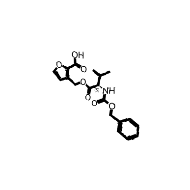 CC(C)[C@H](NC(=O)OCc1ccccc1)C(=O)OCc1ccoc1C(=O)O